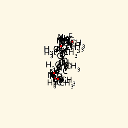 CCCN(C)C[C@H](C[C@@H](C(C)C)N1CC2(CCN(c3ncnnc3Oc3ccc(F)cc3C(=O)N(CC)C(C)C)C2)C1)OC(=O)/C=C/C(=O)O[C@@H](C[C@@H](C(C)C)N1CC2(CCN(c3ncnnc3Oc3ccc(F)cc3C(=O)N(CC)C(C)C)C2)C1)CN(C)CCC